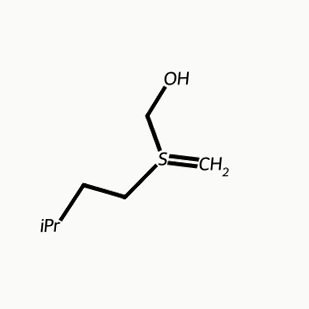 C=S(CO)CCC(C)C